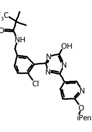 CCCC(C)Oc1ccc(-c2nc(O)nc(-c3cc(CNC(=O)C(C)(C)C(F)(F)F)ccc3Cl)n2)cn1